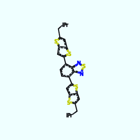 CC(C)Cc1cc2sc(-c3ccc(-c4cc5sc(CC(C)C)cc5s4)c4nsnc34)cc2s1